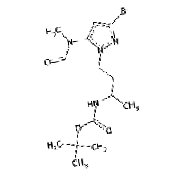 CC(CCn1nc(Br)cc1N(C)C=O)NC(=O)OC(C)(C)C